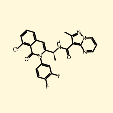 Cc1nn2cccnc2c1C(=O)N[C@@H](C)c1cc2cccc(Cl)c2c(=O)n1-c1ccc(F)c(F)c1